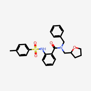 Cc1ccc(S(=O)(=O)Nc2ccccc2C(=O)N(Cc2ccccc2)CC2CCCO2)cc1